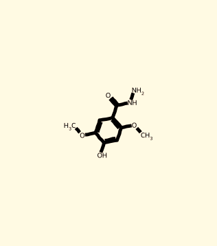 COc1cc(C(=O)NN)c(OC)cc1O